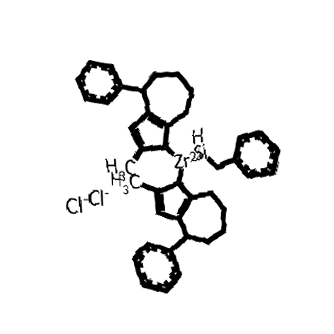 CC1=CC2=C(CCCCC2c2ccccc2)[CH]1[Zr+2](=[SiH]Cc1ccccc1)[CH]1C(C)=CC2=C1CCCCC2c1ccccc1.[Cl-].[Cl-]